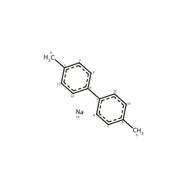 Cc1ccc(-c2ccc(C)cc2)cc1.[Na]